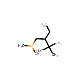 CCC(CP(C)C)C(C)(C)C